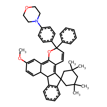 COC1=CC2=C3OC(c4ccccc4)(c4ccc(N5CCOCC5)cc4)C=CC3=C3C(c4ccccc4C34CC(C)(C)CC(C)(C)C4)C2C=C1